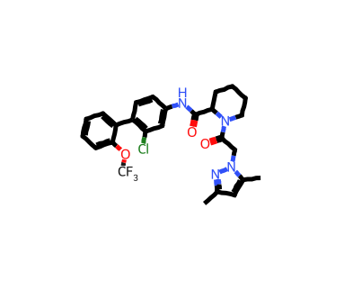 Cc1cc(C)n(CC(=O)N2CCCCC2C(=O)Nc2ccc(-c3ccccc3OC(F)(F)F)c(Cl)c2)n1